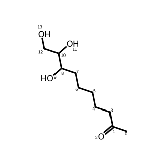 CC(=O)CCCCCC(O)C(O)CO